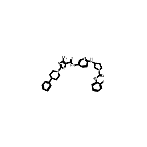 O=C(Nc1ccc(NC2CCN(C(=O)Nc3ccccc3F)C2)nc1)c1sc(N2CCC(c3ccccc3)CC2)nc1C(F)(F)F